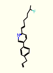 C=CCc1ccc(-c2ccc(C=CCCCC(C)F)nc2)cc1